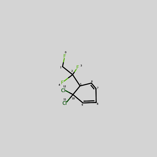 FCC(F)(F)C1C=CC=CC1(Cl)Cl